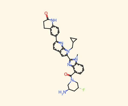 Cn1c(-c2cc3ccc(-c4ccc5c(c4)CCC(=O)N5)nc3n2CC2CC2)nc2c(C(=O)N3C[C@H](N)C[C@@H](F)C3)cccc21